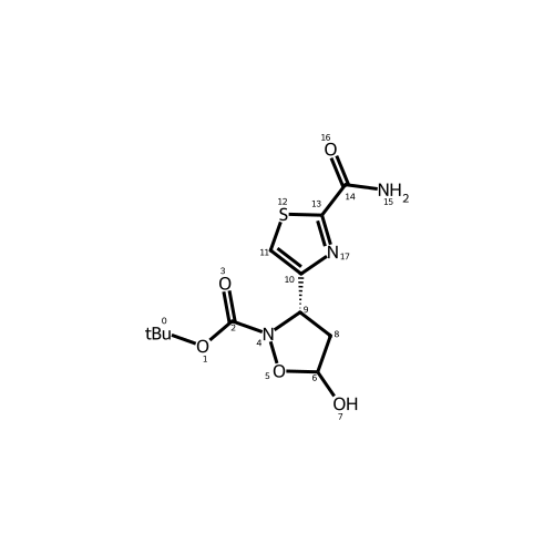 CC(C)(C)OC(=O)N1OC(O)C[C@H]1c1csc(C(N)=O)n1